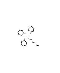 C=CSCCC[Si](Oc1ccccc1)(Oc1ccccc1)Oc1ccccc1